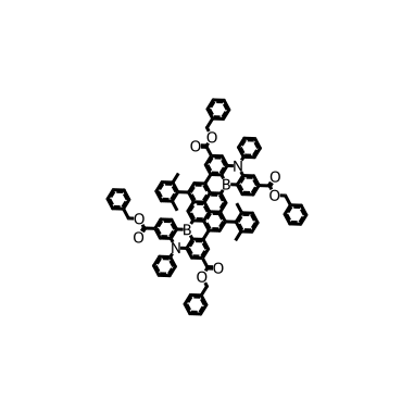 Cc1cccc(C)c1-c1cc2c3c(cc4c(-c5c(C)cccc5C)cc5c6c(cc1c3c46)B1c3ccc(C(=O)OCc4ccccc4)cc3N(c3ccccc3)c3cc(C(=O)OCc4ccccc4)cc-5c31)B1c3ccc(C(=O)OCc4ccccc4)cc3N(c3ccccc3)c3cc(C(=O)OCc4ccccc4)cc-2c31